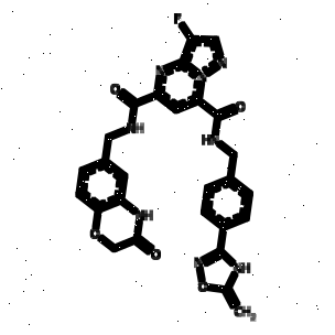 C=C1NC(c2ccc(CNC(=O)c3cc(C(=O)NCc4ccc5c(c4)NC(=O)CO5)nc4c(F)cnn34)cc2)=NO1